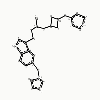 CCN(CCc1c[nH]c2ccc(Cn3cncn3)cc12)CC1CN(Cc2ccccc2)C1